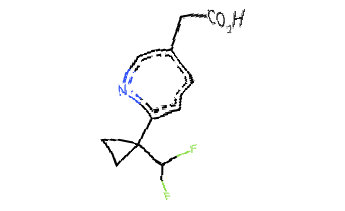 O=C(O)Cc1ccc(C2(C(F)F)CC2)nc1